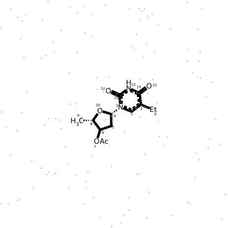 CCc1cn([C@@H]2CC(OC(C)=O)[C@H](C)O2)c(=O)[nH]c1=O